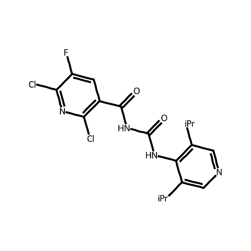 CC(C)c1cncc(C(C)C)c1NC(=O)NC(=O)c1cc(F)c(Cl)nc1Cl